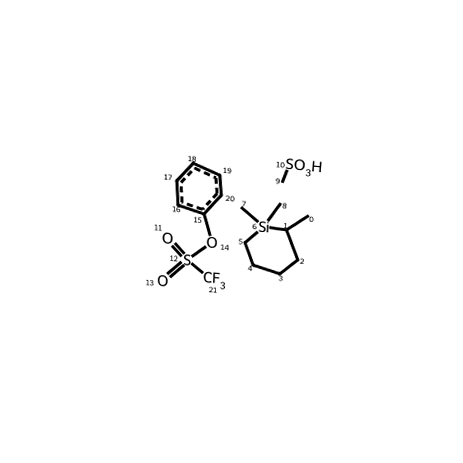 CC1CCCC[Si]1(C)C.CS(=O)(=O)O.O=S(=O)(Oc1ccccc1)C(F)(F)F